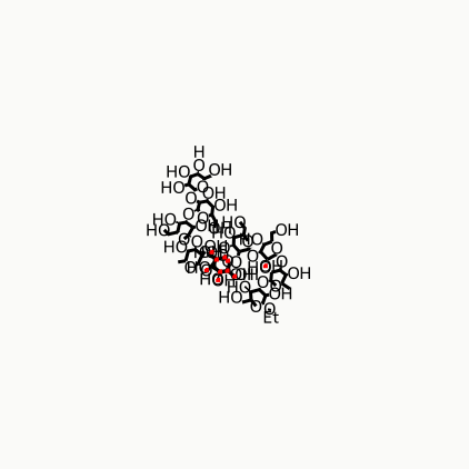 CCO[C@@H]1OC(CO)[C@@H](O)[C@H](O[C@@H]2OC(C)[C@H](O)[C@H](O[C@@H]3OC(CO)[C@@H](O)[C@H](O[C@@H]4OC(CO)[C@@H](O)[C@H](O[C@@H]5OC(CO)[C@@H](O)[C@H](O[C@@H]6OC(C)[C@H](O)[C@H](O[C@@H]7OC(CO)[C@@H](O)[C@H](O[C@@H]8OC(CO)[C@@H](O)[C@H](O)C8O[C@H]8OC(CO)[C@@H](O)[C@H](O)C8O)C7O)C6O)C5O)C4O[C@H]4OC(CO)[C@@H](O)[C@H](O)C4O)C3O)C2O)C1O